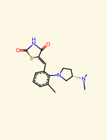 Cc1cccc(/C=C2\SC(=O)NC2=O)c1N1CC[C@H](N(C)C)C1